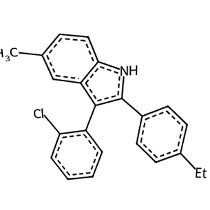 CCc1ccc(-c2[nH]c3ccc(C)cc3c2-c2ccccc2Cl)cc1